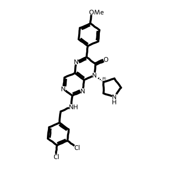 COc1ccc(-c2nc3cnc(NCc4ccc(Cl)c(Cl)c4)nc3n([C@@H]3CCNC3)c2=O)cc1